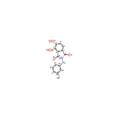 O=C1c2ccc(O)c(O)c2C(=O)N1Cc1cccc(I)c1